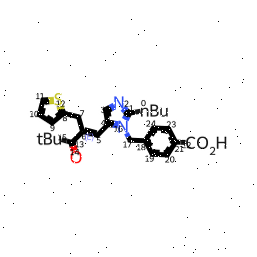 CCCCc1ncc(/C=C(\Cc2cccs2)C(=O)C(C)(C)C)n1Cc1ccc(C(=O)O)cc1